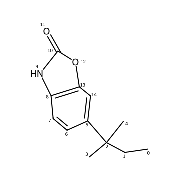 CCC(C)(C)c1ccc2[nH]c(=O)oc2c1